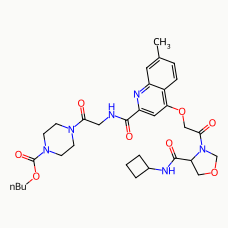 CCCCOC(=O)N1CCN(C(=O)CNC(=O)c2cc(OCC(=O)N3COCC3C(=O)NC3CCC3)c3ccc(C)cc3n2)CC1